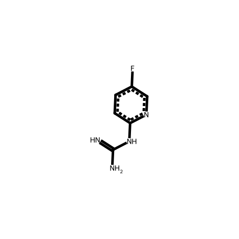 N=C(N)Nc1ccc(F)cn1